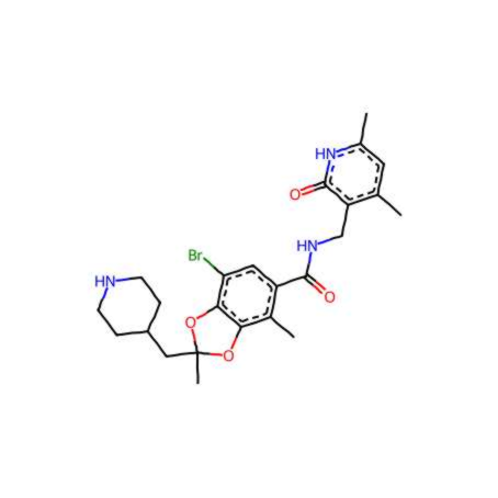 Cc1cc(C)c(CNC(=O)c2cc(Br)c3c(c2C)OC(C)(CC2CCNCC2)O3)c(=O)[nH]1